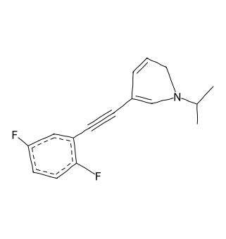 CC(C)N1C=C(C#Cc2cc(F)ccc2F)C=CC1